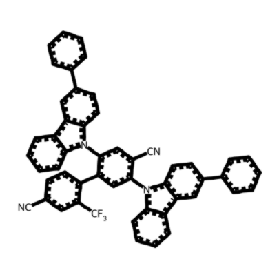 N#Cc1ccc(-c2cc(-n3c4ccccc4c4cc(-c5ccccc5)ccc43)c(C#N)cc2-n2c3ccccc3c3cc(-c4ccccc4)ccc32)c(C(F)(F)F)c1